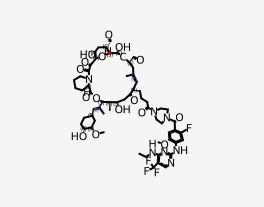 CCNc1nc(Nc2cc(F)c(C(=O)N3CCN(C(=O)CCC[C@@H]4/C=C(\C)C[C@H](C=O)C[C@H](O)[C@H]5O[C@@](O)(C(=O)C(=O)N6CCCC[C@H]6C(=O)O[C@H](/C(C)=C/[C@@H]6CC[C@@H](O)[C@H](OC)C6)[C@H](C)[C@@H](O)CC4=O)[C@H](C)C[C@@H]5C=O)CC3)cc2OC)ncc1C(F)(F)F